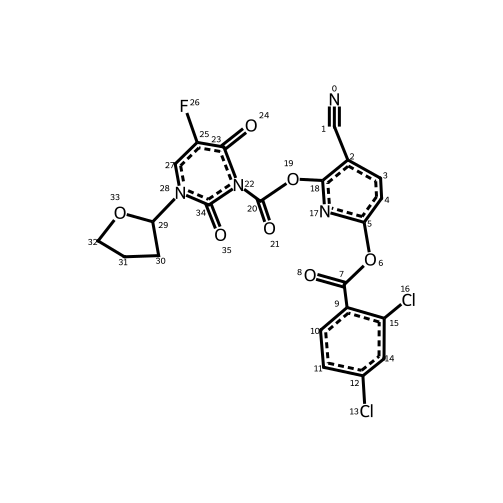 N#Cc1ccc(OC(=O)c2ccc(Cl)cc2Cl)nc1OC(=O)n1c(=O)c(F)cn(C2CCCO2)c1=O